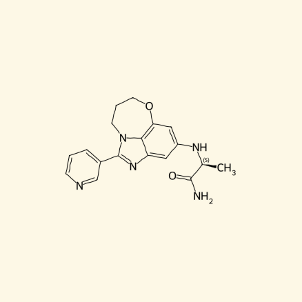 C[C@H](Nc1cc2c3c(c1)nc(-c1cccnc1)n3CCCO2)C(N)=O